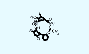 C[C@H]1CNC(=O)c2cc(I)c(O)c(c2)S(=O)(=O)Nc2cc(c(Cl)cc2F)-c2ccccc2O1